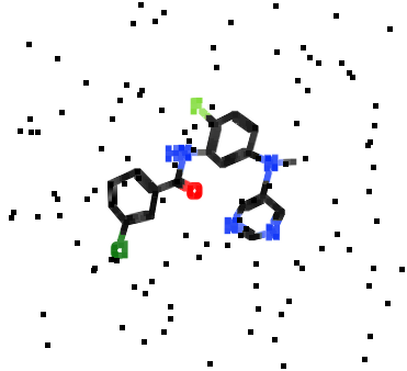 CN(c1cncnc1)c1ccc(F)c(NC(=O)c2cccc(Cl)c2)c1